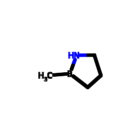 CB1CCCN1